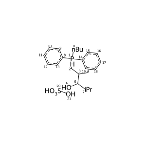 CCCC[PH](CC(C)C(O)C(C)C)(c1ccccc1)c1ccccc1.O=S(=O)(O)O